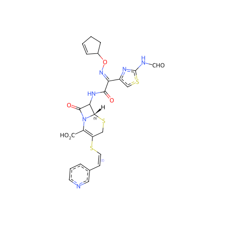 O=CNc1nc(C(=NOC2C=CCC2)C(=O)NC2C(=O)N3C(C(=O)O)=C(S/C=C\c4cccnc4)CS[C@@H]23)cs1